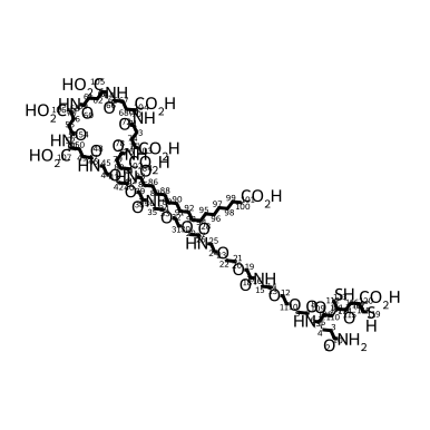 NC(=O)CC[C@H](NC(=O)COCCOCCNC(=O)COCCOCCNC(=O)COCCOCCNC(=O)COCCOCCNC(=O)CC[C@H](NC(=O)CC[C@H](NC(=O)CC[C@H](NC(=O)CC[C@H](NC(=O)CC[C@H](NC(=O)CC[C@H](NC(=O)CCCCCCCCCCCCCCCCC(=O)O)C(=O)O)C(=O)O)C(=O)O)C(=O)O)C(=O)O)C(=O)O)C(=O)C[C@@H](CS)C(=O)C[C@@H](CS)C(=O)O